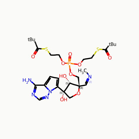 C/N=C\[C@]1(COP(=O)(OCCSC(=O)C(C)(C)C)OCCSC(=O)C(C)(C)C)OC[C@@](O)(c2ccc3c(N)ncnn23)[C@@H]1O